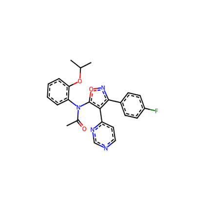 CC(=O)N(c1ccccc1OC(C)C)c1onc(-c2ccc(F)cc2)c1-c1ccncn1